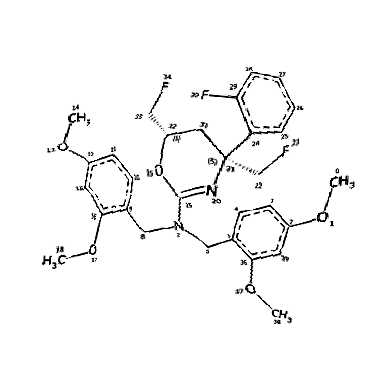 COc1ccc(CN(Cc2ccc(OC)cc2OC)C2=N[C@](CF)(c3ccccc3F)C[C@@H](CF)O2)c(OC)c1